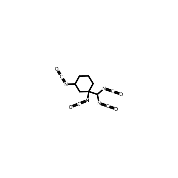 O=C=NC1CCCC(N=C=O)(C(N=C=O)N=C=O)C1